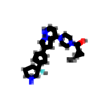 N#C[C@H]1CC1C(=O)N1CCN(c2ccnn3cc(-c4ccc([C@]5(F)CCCNC5)cc4)cc23)CC1